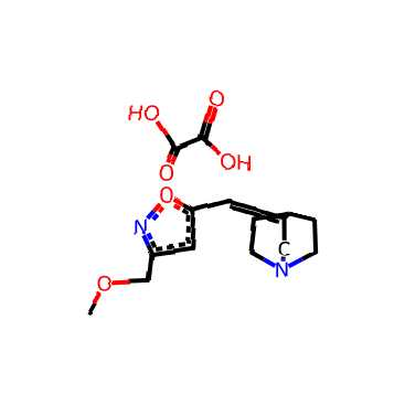 COCc1cc(/C=C2\CN3CCC2CC3)on1.O=C(O)C(=O)O